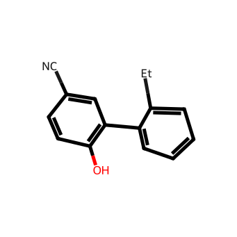 CCc1ccccc1-c1cc(C#N)ccc1O